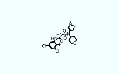 Cn1cc(N(C2CCOCC2)S(=O)(=O)NC(=O)Nc2cc(Cl)cc(Cl)c2F)cn1